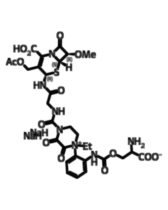 CC[N+]1(c2ccccc2NC(=O)OCC(N)C(=O)[O-])CCN(C(=O)NCC(=O)N[C@@H]2S[C@H]3[C@H](OC)C(=O)N3C(C(=O)O)=C2COC(C)=O)C(=O)C1=O.[NaH].[NaH]